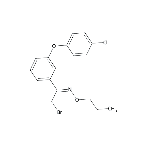 CCCON=C(CBr)c1cccc(Oc2ccc(Cl)cc2)c1